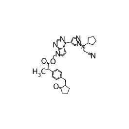 CC(C(=O)OCn1ccc2c(-c3cnn([C@H](CC#N)C4CCCC4)c3)ncnc21)c1ccc(CC2CCCC2=O)cc1